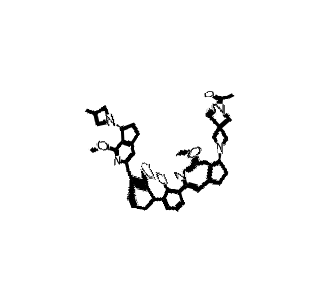 COc1nc(-c2cccc(-c3cccc(-c4cc5c(c(OC)n4)[C@@H](N4CC6(CN(C(C)=O)C6)C4)CC5)c3Cl)c2Cl)cc2c1[C@H](N1CC(C)C1)CC2